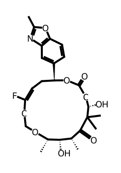 Cc1nc2cc([C@@H]3C/C=C(/F)CCO[C@@H](C)[C@@H](O)[C@@H](C)C(=O)C(C)(C)[C@@H](O)CC(=O)O3)ccc2o1